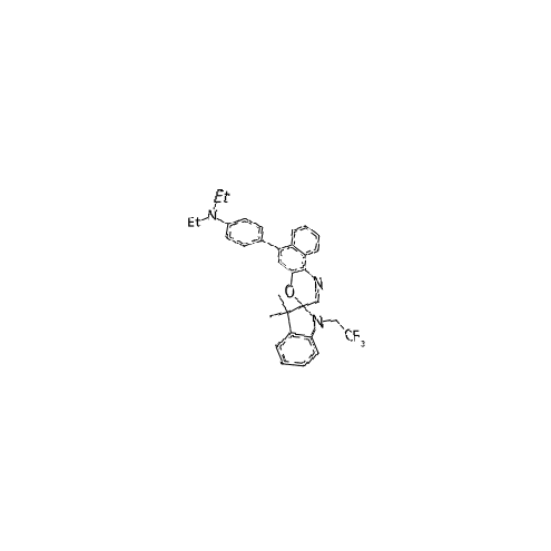 CCN(CC)c1ccc(-c2cc3c(c4ccccc24)N=CC2(O3)N(CC(F)(F)F)c3ccccc3C2(C)C)cc1